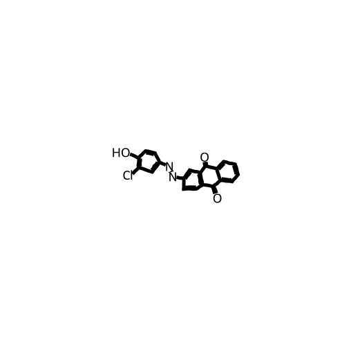 O=C1c2ccccc2C(=O)c2cc(N=Nc3ccc(O)c(Cl)c3)ccc21